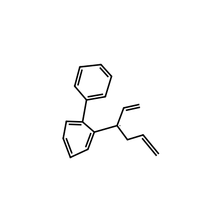 C=CC[C](C=C)c1ccccc1-c1ccccc1